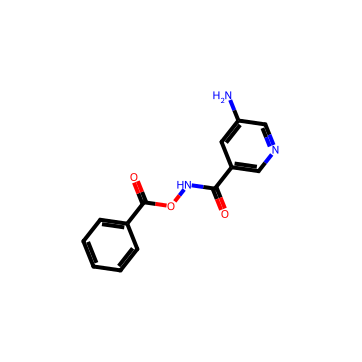 Nc1cncc(C(=O)NOC(=O)c2ccccc2)c1